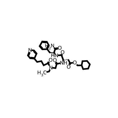 CCN(CC(=O)N[C@@H](CC(=O)OCC1CCCCC1)C(=O)N[C@@H](Cc1ccccc1)C(N)=O)C(=O)CCCc1ccncc1